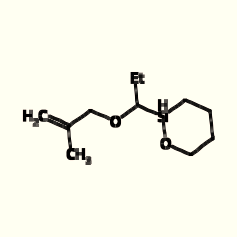 C=C(C)COC(CC)[SiH]1CCCCO1